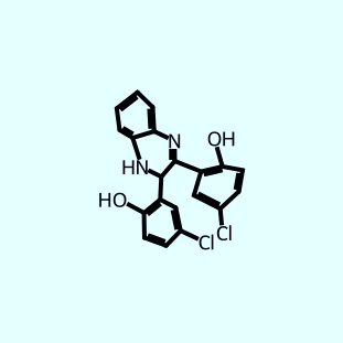 Oc1ccc(Cl)cc1C1=Nc2ccccc2NC1c1cc(Cl)ccc1O